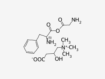 C[N+](C)(C)CC(O)CC(=O)[O-].NCC(=O)OC(=O)[C@@H](N)Cc1ccccc1